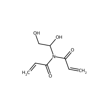 C=CC(=O)N(C(=O)C=C)C(O)CO